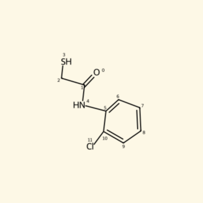 O=C(CS)Nc1ccccc1Cl